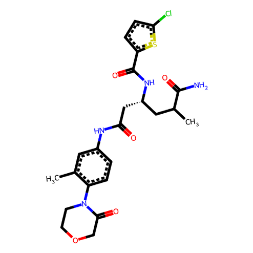 Cc1cc(NC(=O)C[C@@H](CC(C)C(N)=O)NC(=O)c2ccc(Cl)s2)ccc1N1CCOCC1=O